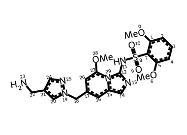 COc1cccc(OC)c1S(=O)(=O)Nc1ncc2cc(Cn3cc(CN)cn3)cc(OC)n12